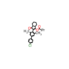 Cc1cc(-c2ccc(Cl)cc2)cc(C)c1C1=C(OC(=O)C(C)C)C2CCCCC2C1=O